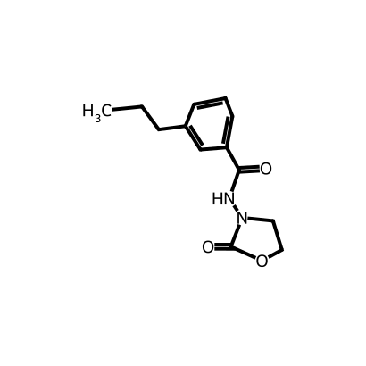 CCCc1cccc(C(=O)NN2CCOC2=O)c1